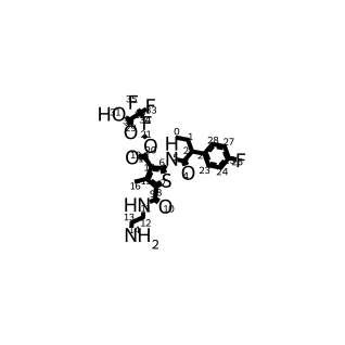 CCC(C(=O)Nc1sc(C(=O)NCCN)c(C)c1C(=O)OC)c1ccc(F)cc1.O=C(O)C(F)(F)F